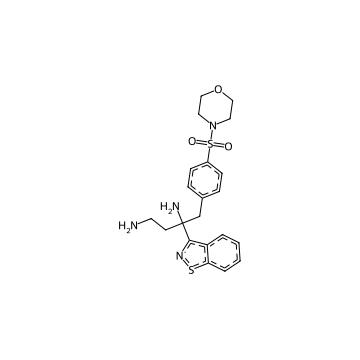 NCCC(N)(Cc1ccc(S(=O)(=O)N2CCOCC2)cc1)c1nsc2ccccc12